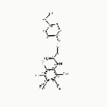 O=C(CCCC1CCN(SI)CC1)Nc1c(F)c(F)c(C(F)(F)F)c(F)c1F